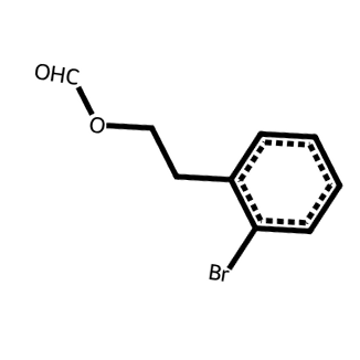 O=COCCc1ccccc1Br